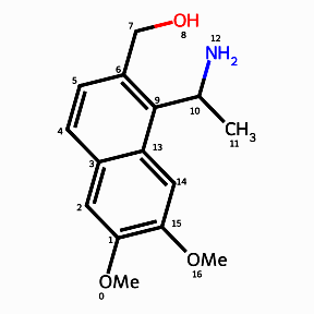 COc1cc2ccc(CO)c(C(C)N)c2cc1OC